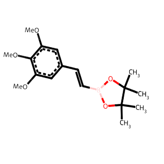 COc1cc(C=CB2OC(C)(C)C(C)(C)O2)cc(OC)c1OC